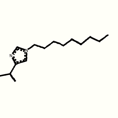 CCCCCCCCCn1cnc(C(C)C)c1